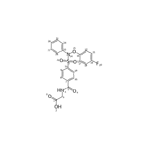 O=C(O)CNC(=O)c1ccc(S(=O)(=O)N(Oc2ccc(F)cc2)c2ccccc2)cc1